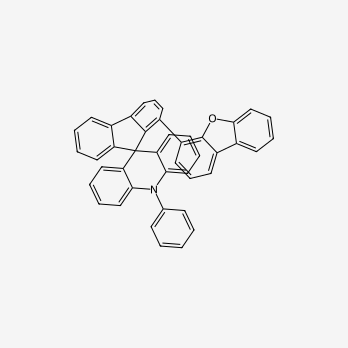 c1ccc(N2c3ccccc3C3(c4ccccc4-c4cccc(-c5cccc6c5oc5ccccc56)c43)c3ccccc32)cc1